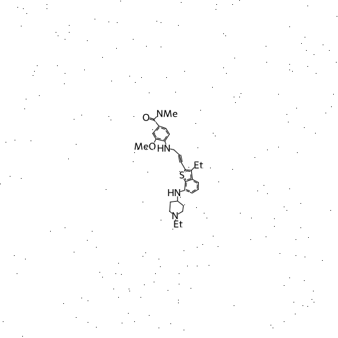 CCc1c(C#CCNc2ccc(C(=O)NC)cc2OC)sc2c(NC3CCN(CC)CC3)cccc12